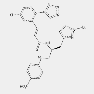 CCn1ccc(C[C@@H](CNc2ccc(C(=O)O)cc2)NC(=O)/C=C/c2cc(Cl)ccc2-n2cnnn2)n1